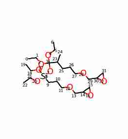 CCOC(OCC)(O[Si](CCCOCC1CO1)(OCC)OCC)C(C)CCCOCC1CO1